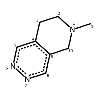 CN1CCc2cnncc2C1